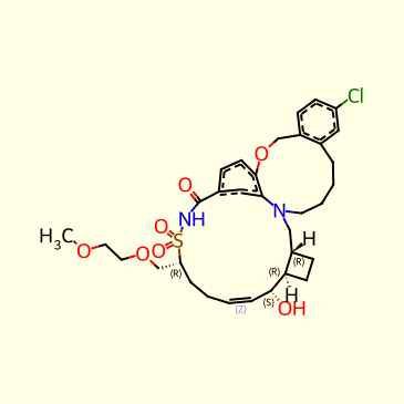 COCCOC[C@H]1CC/C=C\[C@@H](O)[C@@H]2CC[C@H]2CN2CCCCc3cc(Cl)ccc3COc3ccc(cc32)C(=O)NS1(=O)=O